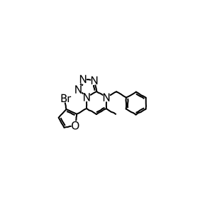 CC1=CC(c2occc2Br)n2nnnc2N1Cc1ccccc1